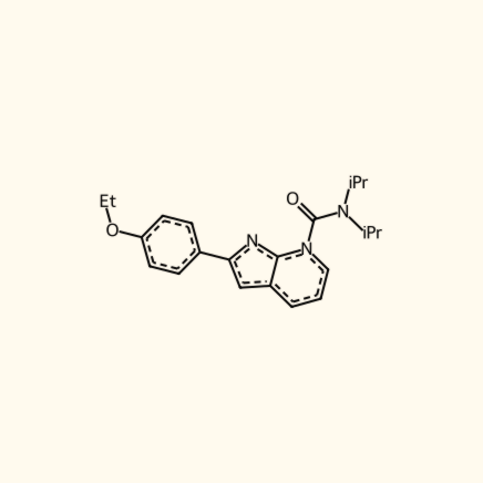 CCOc1ccc(-c2cc3cccn(C(=O)N(C(C)C)C(C)C)c-3n2)cc1